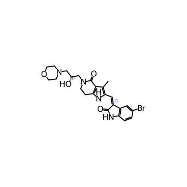 Cc1c(/C=C2\C(=O)Nc3ccc(Br)cc32)[nH]c2c1C(=O)N(C[C@H](O)CN1CCOCC1)CC2